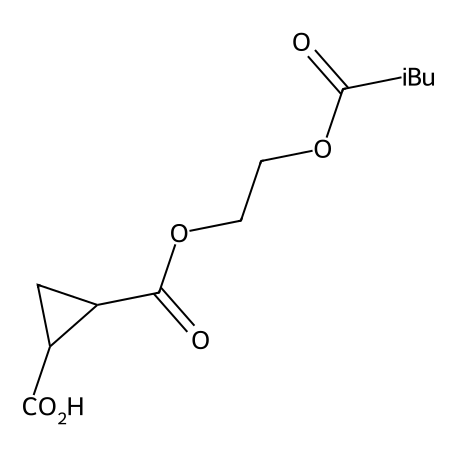 CCC(C)C(=O)OCCOC(=O)C1CC1C(=O)O